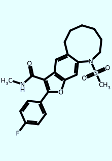 CNC(=O)c1c(-c2ccc(F)cc2)oc2cc3c(cc12)CCCCCCN3S(C)(=O)=O